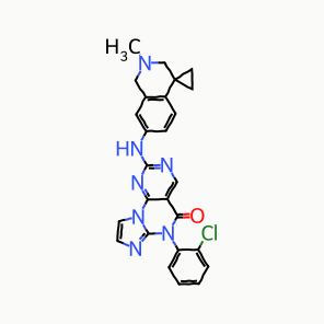 CN1Cc2cc(Nc3ncc4c(=O)n(-c5ccccc5Cl)c5nccn5c4n3)ccc2C2(CC2)C1